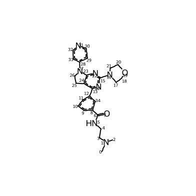 CN(C)CCNC(=O)c1cccc(-c2nc(N3CCOCC3)nc3c2CCN3c2ccncc2)c1